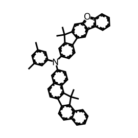 Cc1cc(C)cc(N(c2ccc3c(c2)C(C)(C)c2cc4oc5ccccc5c4cc2-3)c2ccc3c4c(ccc3c2)-c2ccc3ccccc3c2C4(C)C)c1